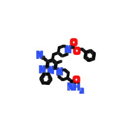 Cc1c(CC2CCN(C(=O)OCc3ccccc3)CC2)c(C#N)c2nc3ccccc3n2c1N1CCC(C(N)=O)CC1